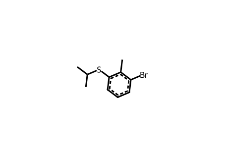 Cc1c(Br)cccc1SC(C)C